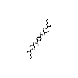 CCCCC(CC)C1OCC(OC(=O)c2ccc(C(=O)OC3COC(C(CC)CCCC)OC3)cc2)CO1